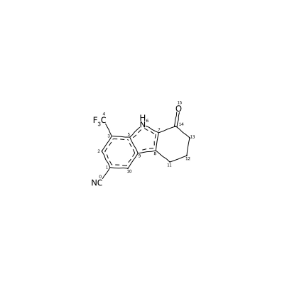 N#Cc1cc(C(F)(F)F)c2[nH]c3c(c2c1)CCCC3=O